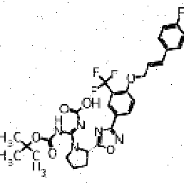 CC(C)(C)OC(=O)N/C(=N\C(=O)O)N1CCC[C@H]1c1nc(-c2ccc(OC/C=C/c3ccc(F)cc3)c(C(F)(F)F)c2)no1